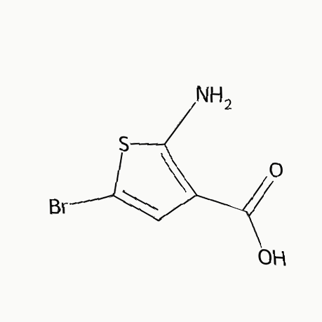 Nc1sc(Br)cc1C(=O)O